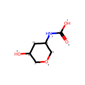 O=C(O)NC1COCC(O)C1